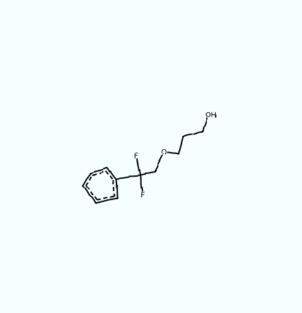 OCCCOCC(F)(F)c1ccccc1